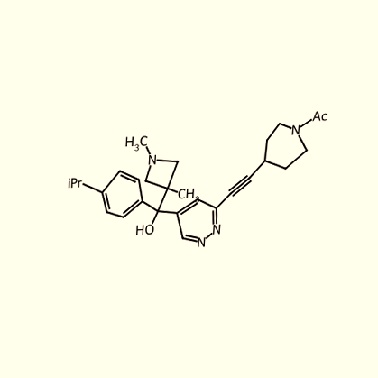 CC(=O)N1CCC(C#Cc2cc(C(O)(c3ccc(C(C)C)cc3)C3(C)CN(C)C3)cnn2)CC1